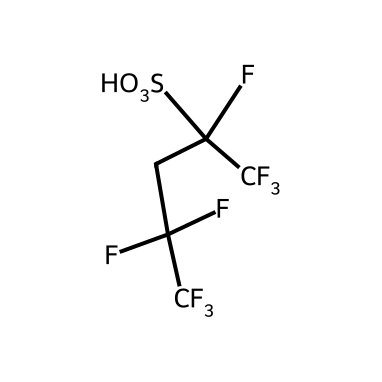 O=S(=O)(O)C(F)(CC(F)(F)C(F)(F)F)C(F)(F)F